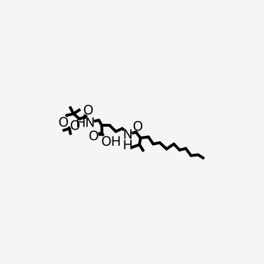 CCCCCCCCCCC(C(=O)NCCCC(CNC(=O)C1OC(C)(C)OCC1(C)C)C(=O)O)C(C)C